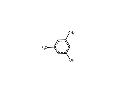 [CH2]c1cc(O)cc(C(F)(F)F)c1